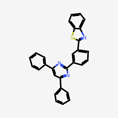 c1ccc(-c2cc(-c3ccccc3)nc(-c3cccc(-c4nc5ccccc5s4)c3)n2)cc1